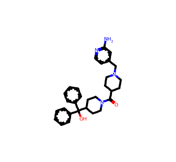 Nc1cc(CN2CCC(C(=O)N3CCC(C(O)(c4ccccc4)c4ccccc4)CC3)CC2)ccn1